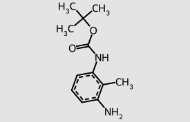 Cc1c(N)cccc1NC(=O)OC(C)(C)C